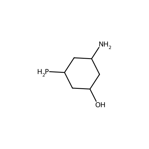 NC1CC(O)CC(P)C1